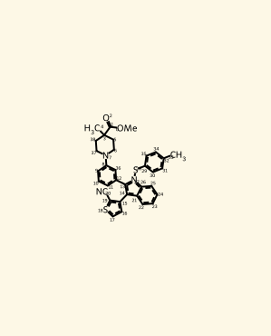 COC(=O)C1(C)CCN(c2cccc(-c3c(-c4ccsc4C#N)c4ccccc4n3Sc3ccc(C)cc3)c2)CC1